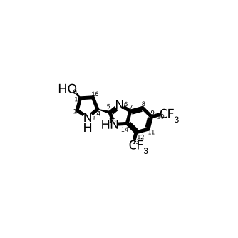 O[C@@H]1CN[C@H](c2nc3cc(C(F)(F)F)cc(C(F)(F)F)c3[nH]2)C1